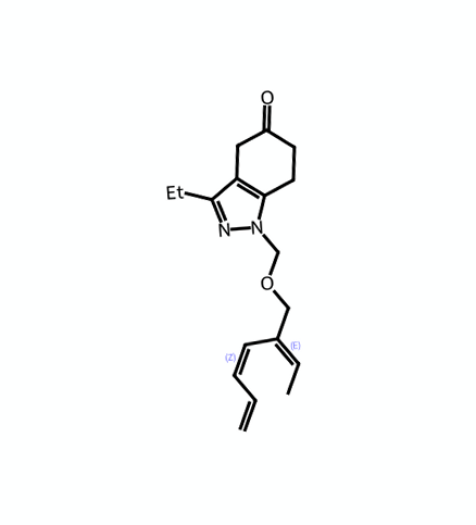 C=C/C=C\C(=C/C)COCn1nc(CC)c2c1CCC(=O)C2